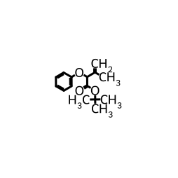 C=C(C)C(Oc1ccccc1)C(=O)OC(C)(C)C